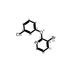 Clc1cccc(Oc2ncccc2Br)c1